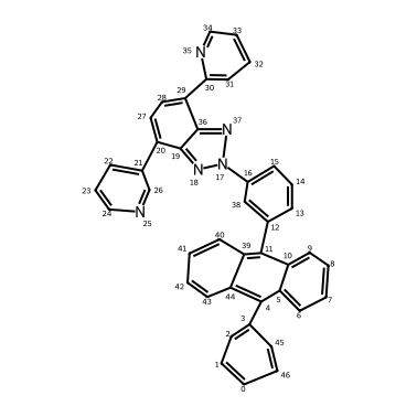 c1ccc(-c2c3ccccc3c(-c3cccc(-n4nc5c(-c6cccnc6)ccc(-c6ccccn6)c5n4)c3)c3ccccc23)cc1